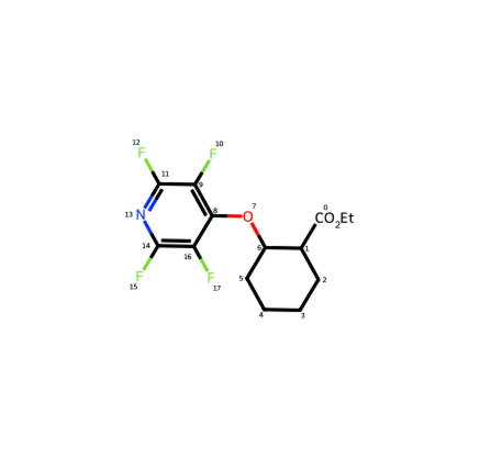 CCOC(=O)C1CCCCC1Oc1c(F)c(F)nc(F)c1F